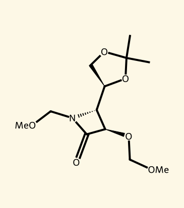 COCO[C@H]1C(=O)N(COC)[C@@H]1[C@H]1COC(C)(C)O1